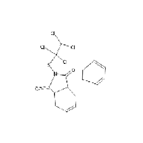 O=C1C2CC=CCC2C(=O)N1SC(Cl)(Cl)C(Cl)Cl.c1ccccc1